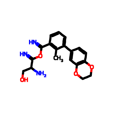 Cc1c(C(=N)OC(=N)C(N)CO)cccc1-c1ccc2c(c1)OCCO2